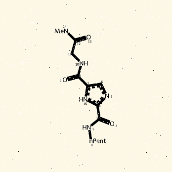 CCCCCNC(=O)c1ncc(C(=O)NCC(=O)NC)[nH]1